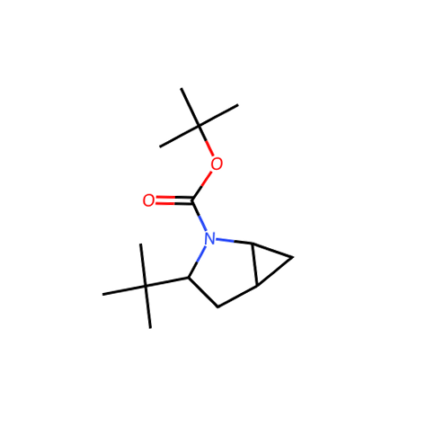 CC(C)(C)OC(=O)N1C2CC2CC1C(C)(C)C